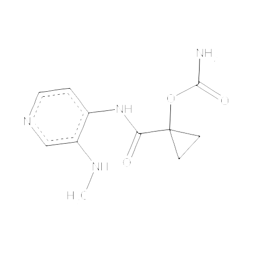 CNc1cnccc1NC(=O)C1(OC(N)=O)CC1